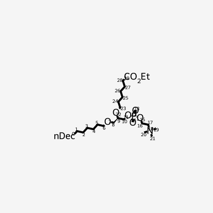 CCCCCCCCCCCCCCCCOC[C@H](COP(=O)([O-])OCC[N+](C)(C)C)OCCCCCCC(=O)OCC